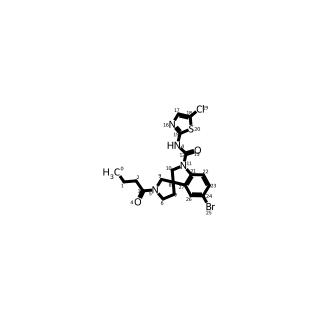 CCCC(=O)N1CCC2(C1)CN(C(=O)Nc1ncc(Cl)s1)c1ccc(Br)cc12